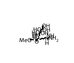 COCCNC(=O)[C@H](CCCCNC(=N)N)NC[C@H](O)[C@@H](O)[C@H](O)[C@H](O)CO